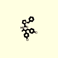 CC(NC(=O)C1CCCN1Cc1ccccc1)C(Cc1ccc(Cl)cc1)c1ccc(Cl)cc1